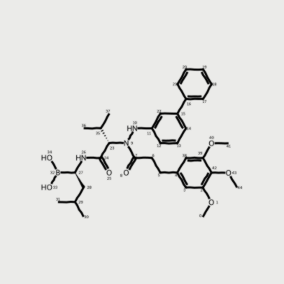 COc1cc(CCC(=O)N(Nc2cccc(-c3ccccc3)c2)[C@H](C(=O)N[C@@H](CC(C)C)B(O)O)C(C)C)cc(OC)c1OC